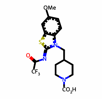 COc1ccc2c(c1)sc(=NC(=O)C(F)(F)F)n2CC1CCN(C(=O)O)CC1